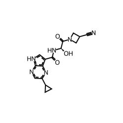 N#CC1CN(C(=O)[C@@H](O)NC(=O)c2c[nH]c3ncc(C4CC4)nc23)C1